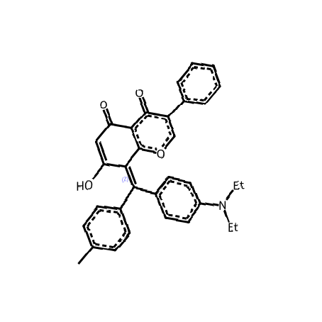 CCN(CC)c1ccc(/C(=C2/C(O)=CC(=O)c3c2occ(-c2ccccc2)c3=O)c2ccc(C)cc2)cc1